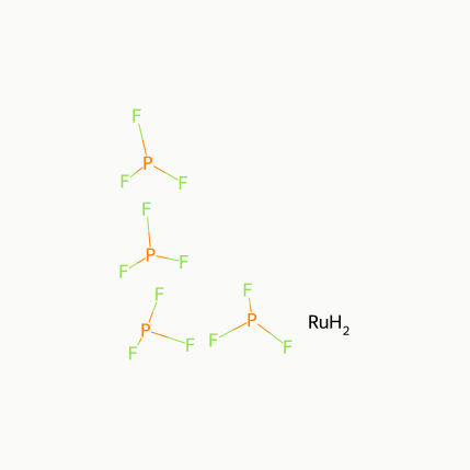 FP(F)F.FP(F)F.FP(F)F.FP(F)F.[RuH2]